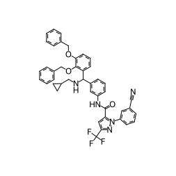 N#Cc1cccc(-n2nc(C(F)(F)F)cc2C(=O)Nc2cccc(C(NCC3CC3)c3cccc(OCc4ccccc4)c3OCc3ccccc3)c2)c1